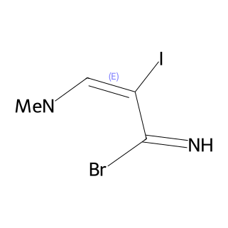 CN/C=C(/I)C(=N)Br